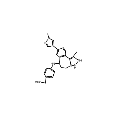 CC1=C2c3ccc(-c4cnn(C)c4)cc3C(Nc3ccc(CC=O)cc3)CCN2NN1